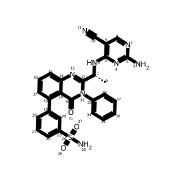 C[C@@H](Nc1nc(N)ncc1C#N)c1nc2cccc(-c3cccc(S(N)(=O)=O)c3)c2c(=O)n1-c1ccccc1